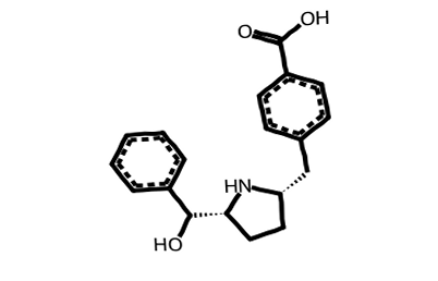 O=C(O)c1ccc(C[C@@H]2CC[C@H](C(O)c3ccccc3)N2)cc1